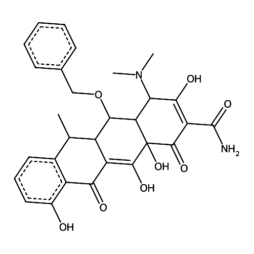 CC1c2cccc(O)c2C(=O)C2=C(O)C3(O)C(=O)C(C(N)=O)=C(O)C(N(C)C)C3C(OCc3ccccc3)C21